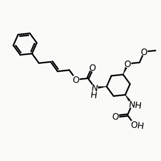 COCO[C@H]1C[C@@H](NC(=O)O)C[C@@H](NC(=O)OCC=CCc2ccccc2)C1